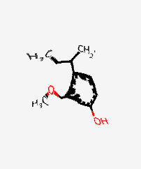 [CH2]C(CC)c1ccc(O)cc1OC